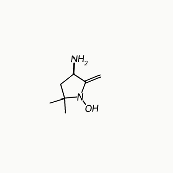 C=C1C(N)CC(C)(C)N1O